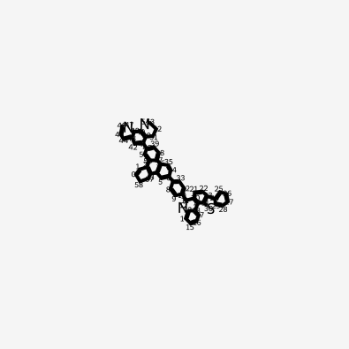 C1=Cc2c(c3cc(-c4ccc(-c5nc6ccccc6c6c5ccc5c7ccccc7sc56)cc4)ccc3c3ccc(-c4cc5cccnc5c5c4CCC=N5)cc23)CC1